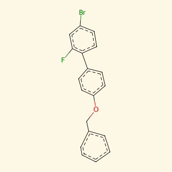 Fc1cc(Br)ccc1-c1ccc(OCc2ccccc2)cc1